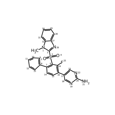 Cn1c(S(=O)(=O)c2c(-c3ccccc3)ccc(-c3cnc(N)nc3)c2F)nc2ccccc21